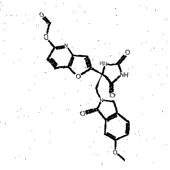 COc1ccc2c(c1)C(=O)N(C[C@@]1(c3cc4nc(OC=O)ccc4o3)NC(=O)NC1=O)C2